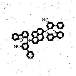 N#Cc1cc(-c2ccccc2)cc(N(c2ccc3ccc4c(N(c5cc(C#N)cc(-c6ccccc6)c5)c5cccc6c5oc5ccccc56)ccc5ccc2c3c54)c2cccc3c2oc2ccccc23)c1